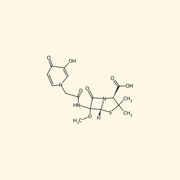 COC1(NC(=O)Cn2ccc(=O)c(O)c2)C(=O)N2[C@@H](C(=O)O)C(C)(C)S[C@@H]21